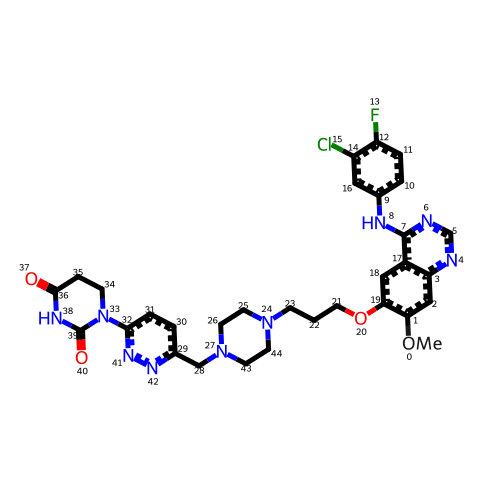 COc1cc2ncnc(Nc3ccc(F)c(Cl)c3)c2cc1OCCCN1CCN(Cc2ccc(N3CCC(=O)NC3=O)nn2)CC1